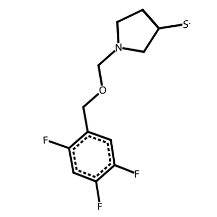 Fc1cc(F)c(COCN2CCC([S])C2)cc1F